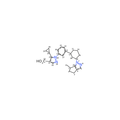 CC1CCc2cnn(C3CCCC(c4cccc(-n5ncc(C(=O)O)c5C5CC5)c4)C3)c21